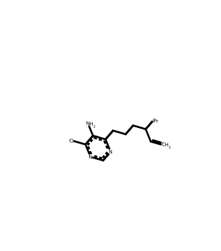 C=CC(CCCc1ncnc(Cl)c1N)C(C)C